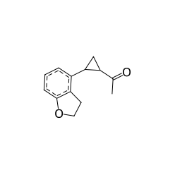 CC(=O)C1CC1c1cccc2c1CCO2